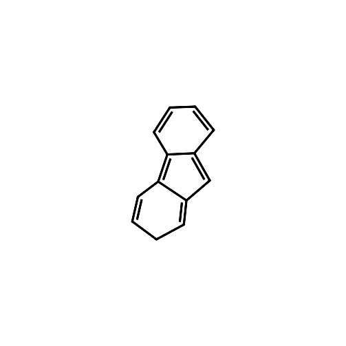 C1=CC2=c3ccccc3=CC2=CC1